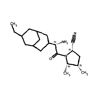 CCC1CC2CC(C1)CC([C@H](N)C(=O)N1[C@H](C#N)C[C@H](C)[C@@H]1C)C2